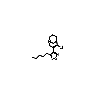 CCCCCc1nsnc1C1=C(Cl)C2CCCN(C1)C2